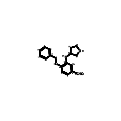 O=Cc1ccc(OCc2ccccc2)c(OC2CCOC2)c1